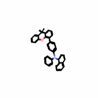 CC1(C)c2ccccc2Oc2c(-c3ccc(N(c4ccccc4)c4cccc5ccccc45)cc3)cccc21